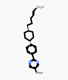 CCCCCc1cnc(-c2ccc([C@H]3CC[C@H](CCC/C=C/C(=O)O)CC3)cc2)nc1